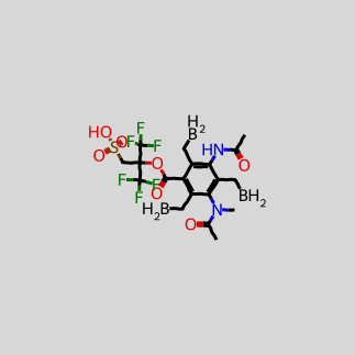 BCc1c(NC(C)=O)c(CB)c(N(C)C(C)=O)c(CB)c1C(=O)OC(CS(=O)(=O)O)(C(F)(F)F)C(F)(F)F